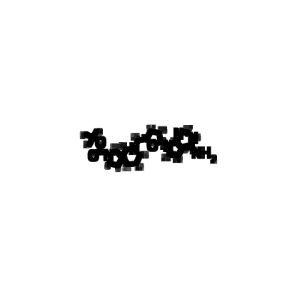 CC(C)(C)OC(=O)N1CCC2(CCCN(CC3CCC(n4ccc5c(N)ncnc54)O3)C2)C1